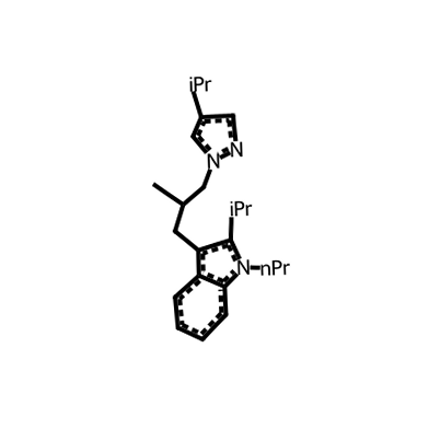 CCCn1c(C(C)C)c(CC(C)Cn2cc(C(C)C)cn2)c2ccccc21